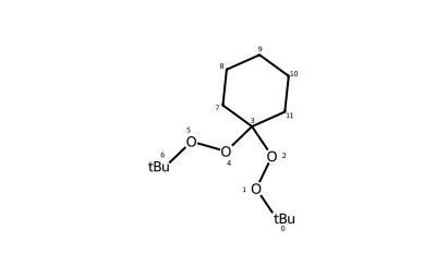 CC(C)(C)OOC1(OOC(C)(C)C)CCCCC1